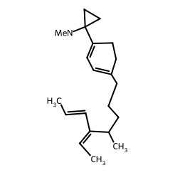 C/C=C/C(=C/C)C(C)CCCC1=CC=C(C2(NC)CC2)CC1